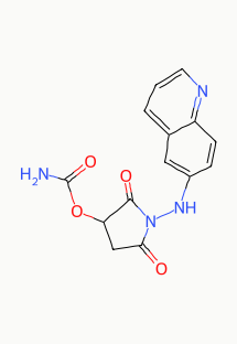 NC(=O)OC1CC(=O)N(Nc2ccc3ncccc3c2)C1=O